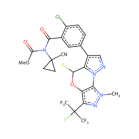 COC(=O)N(C(=O)c1cc(-c2cnn3c2C(F)Oc2c(C(F)(C(F)(F)F)C(F)(F)F)nn(C)c2-3)ccc1Cl)C1(C#N)CC1